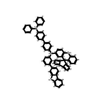 c1ccc(N(c2ccccc2)c2ccc(-c3ccc(N(c4cccc(-c5ccc6c(c5)sc5ccccc56)c4)c4ccc5c(c4)C4(c6ccccc6O5)c5ccccc5-c5ccccc54)cc3)cc2)cc1